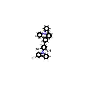 N#Cc1ccc2c(c1)c1ccccc1n2-c1c(C#N)cc(-c2cccc(-c3ccccc3-n3c4ccccc4c4ccccc43)c2)cc1C#N